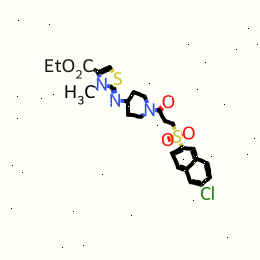 CCOC(=O)c1cs/c(=N\C2CCN(C(=O)CCS(=O)(=O)c3ccc4cc(Cl)ccc4c3)CC2)n1C